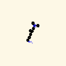 Nc1cccc(-c2ccc(-c3ccc(-c4ccc(-c5ccc(-c6nc(-c7ccccc7)nc(-c7ccccc7)n6)cc5)c5ccccc45)cc3)cc2)c1